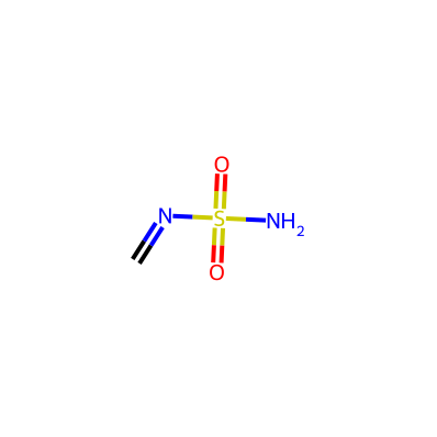 C=NS(N)(=O)=O